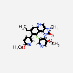 CCc1cc2ncc3c(c2cc1-c1ccc(OC)nc1)n(-c1c(F)cncc1OC)c(=O)n3C